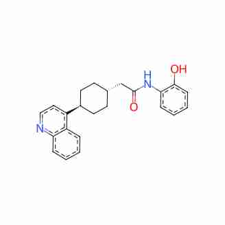 O=C(C[C@H]1CC[C@H](c2ccnc3ccccc32)CC1)Nc1ccccc1O